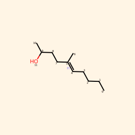 CCCC/C=C(\C)CCC(C)O